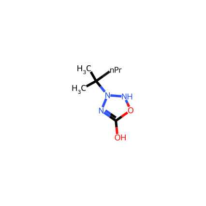 CCCC(C)(C)N1N=C(O)ON1